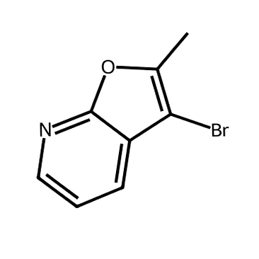 Cc1oc2ncccc2c1Br